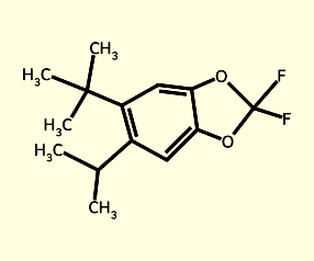 CC(C)c1cc2c(cc1C(C)(C)C)OC(F)(F)O2